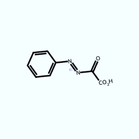 O=C(O)C(=O)/N=N/c1ccccc1